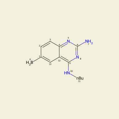 Bc1ccc2nc(N)nc(NCCCC)c2c1